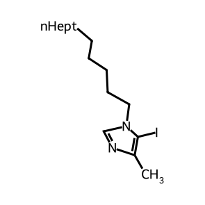 CCCCCCCCCCCCn1cnc(C)c1I